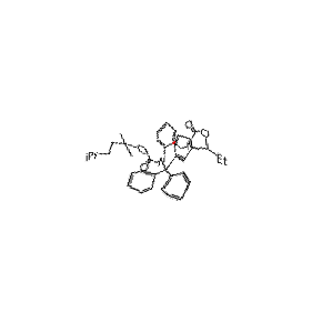 CCC1CN(Cc2ccccc2N(C(=O)OC(C)(C)CCC(C)C)C(c2ccccc2)(c2ccccc2)c2ccccc2)C(=O)O1